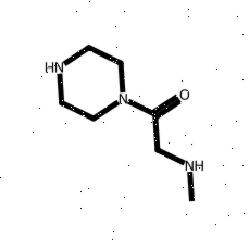 CNCC(=O)N1CCNCC1